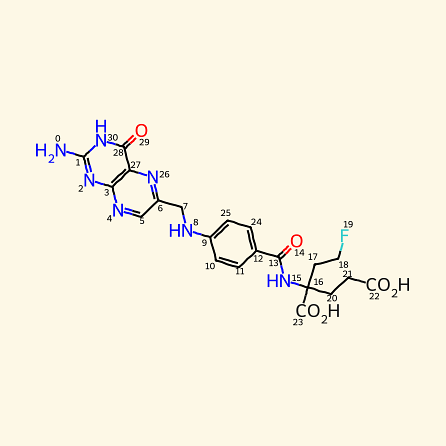 Nc1nc2ncc(CNc3ccc(C(=O)NC(CCF)(CCC(=O)O)C(=O)O)cc3)nc2c(=O)[nH]1